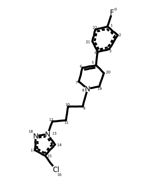 Fc1ccc(C2=CCN(CCCCn3cc(Cl)cn3)CC2)cc1